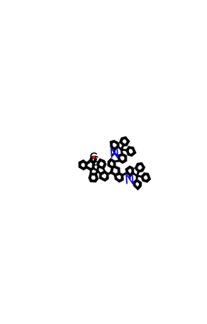 CN1c2ccccc2C(c2ccccc2)(c2ccccc2)c2cccc(-c3cccc4c(-c5cccc6c5-c5ccccc5C65c6ccccc6-c6c5c5ccccc5c5ccccc65)c5cccc(-c6cccc7c6N(C)c6ccccc6C7(c6ccccc6)c6ccccc6)c5cc34)c21